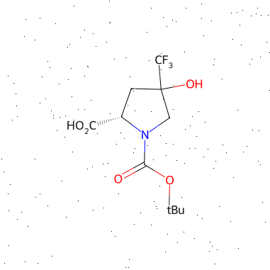 CC(C)(C)OC(=O)N1CC(O)(C(F)(F)F)C[C@H]1C(=O)O